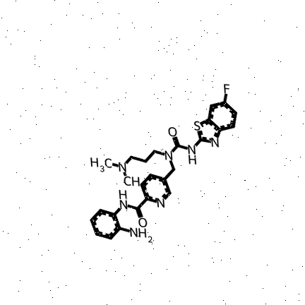 CN(C)CCCN(Cc1ccc(C(=O)Nc2ccccc2N)nc1)C(=O)Nc1nc2ccc(F)cc2s1